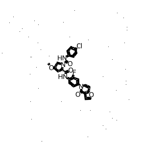 CO[C@@H]1C[C@H](C(=O)Nc2ccc(-n3ccc4occc4c3=O)cc2F)N(C(=O)Nc2ccc(Cl)cc2)C1